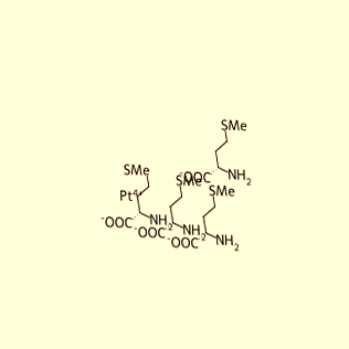 CSCC[C@H](N)C(=O)[O-].CSCC[C@H](N)C(=O)[O-].CSCC[C@H](N)C(=O)[O-].CSCC[C@H](N)C(=O)[O-].[Pt+4]